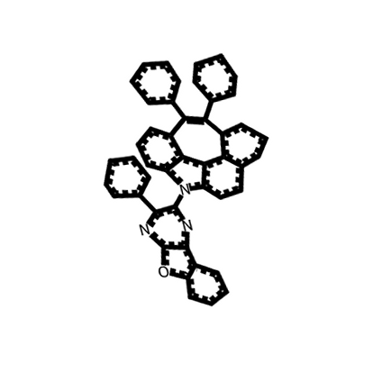 c1ccc(C2=C(c3ccccc3)c3cccc4c3c3c5c2cccc5ccc3n4-c2nc3c(nc2-c2ccccc2)oc2ccccc23)cc1